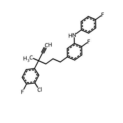 C#CC(C)(CCCc1ccc(F)c(Nc2ccc(F)cc2)c1)c1ccc(F)c(Cl)c1